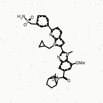 COc1cc(C(=O)N2CC3CCC2[C@@H]3C)cc2nc(-c3cc4ccc(-c5cccc(CS(N)(=O)=O)c5)nc4n3CC3CC3)n(C)c12